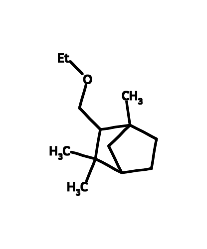 CCOCC1C2(C)CCC(C2)C1(C)C